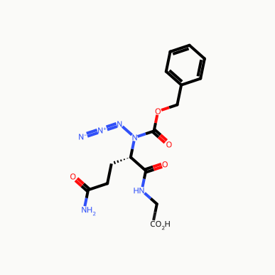 [N-]=[N+]=NN(C(=O)OCc1ccccc1)[C@@H](CCC(N)=O)C(=O)NCC(=O)O